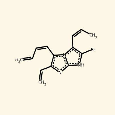 C=C/C=C\c1c(C=C)nc2[nH]c(CC)c(/C=C\C)n12